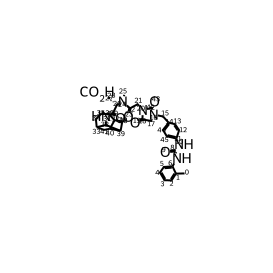 Cc1ccccc1NC(=O)Nc1ccc(CN2CC(=O)N(CC(=O)N(C)[C@@H](CC(=O)O)C(=O)NC3C4CCCC5CC3C5C4)C2=O)cc1